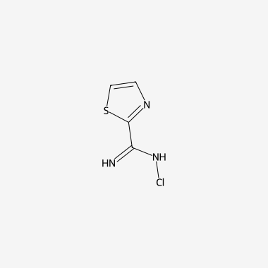 N=C(NCl)c1nccs1